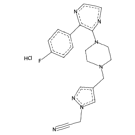 Cl.N#CCn1cc(CN2CCN(c3nccnc3-c3ccc(F)cc3)CC2)cn1